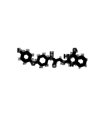 O=C(CSc1nc2ccccc2c(=O)[nH]1)NC1CCC(Oc2ccc(F)cc2)CC1